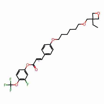 CCC1(COCCCCCCOc2ccc(/C=C/C(=O)Oc3ccc(OC(F)(F)F)c(F)c3)cc2)COC1